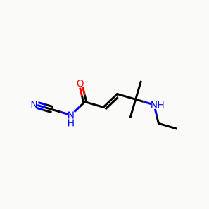 CCNC(C)(C)C=CC(=O)NC#N